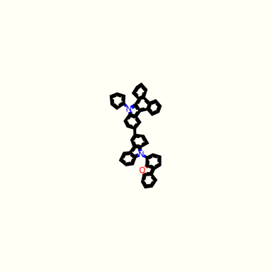 c1ccc(-n2c3ccc(-c4ccc5c(c4)c4ccccc4n5-c4cccc5c4oc4ccccc45)cc3c3c4ccccc4c4ccccc4c32)cc1